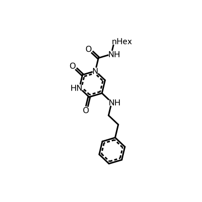 CCCCCCNC(=O)n1cc(NCCc2ccccc2)c(=O)[nH]c1=O